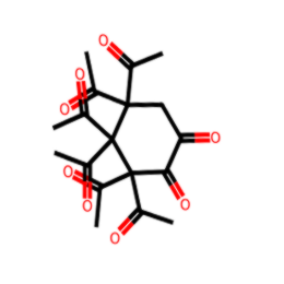 CC(=O)C1(C(C)=O)CC(=O)C(=O)C(C(C)=O)(C(C)=O)C1(C(C)=O)C(C)=O